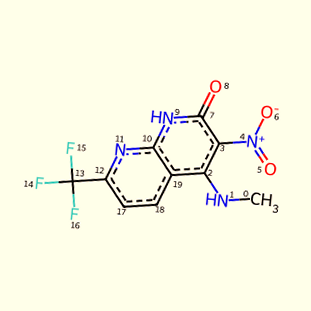 CNc1c([N+](=O)[O-])c(=O)[nH]c2nc(C(F)(F)F)ccc12